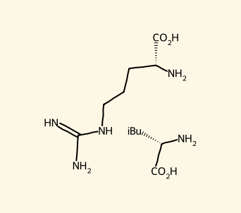 CCC(C)[C@H](N)C(=O)O.N=C(N)NCCC[C@@H](N)C(=O)O